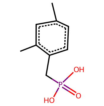 Cc1ccc(CP(=O)(O)O)c(C)c1